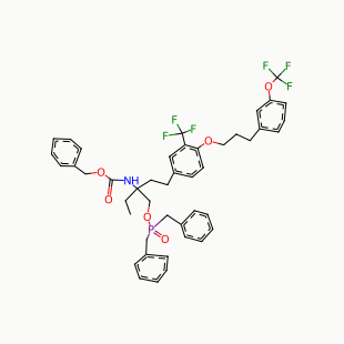 CCC(CCc1ccc(OCCCc2cccc(OC(F)(F)F)c2)c(C(F)(F)F)c1)(COP(=O)(Cc1ccccc1)Cc1ccccc1)NC(=O)OCc1ccccc1